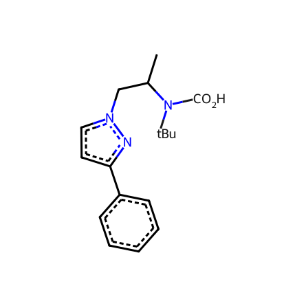 CC(Cn1ccc(-c2ccccc2)n1)N(C(=O)O)C(C)(C)C